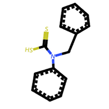 S=C(S)N(Cc1ccccc1)c1ccccc1